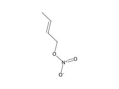 C/C=C/CO[N+](=O)[O-]